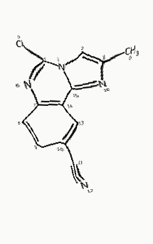 Cc1cn2c(Cl)nc3ccc(C#N)cc3c2n1